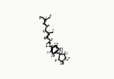 CC(C)=CCC/C(C)=C/COc1ccc(C2CCCC2)cc1